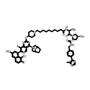 CCc1c(F)ccc2cc(O)cc(-c3ncc4c(N5CC6CCC(C5)N6)nc(OC5CCN(CCCCCCCCCC(=O)NC(C(=O)N6C[C@@H](O)C[C@@H]6C(=O)NCc6ccc(-c7scnc7C)cc6)C(C)(C)C)CC5)nc4c3F)c12